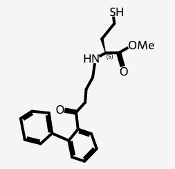 COC(=O)[C@H](CCS)NCCCC(=O)c1ccccc1-c1ccccc1